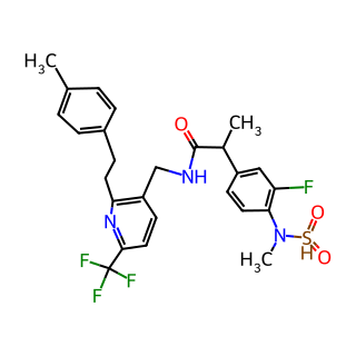 Cc1ccc(CCc2nc(C(F)(F)F)ccc2CNC(=O)C(C)c2ccc(N(C)[SH](=O)=O)c(F)c2)cc1